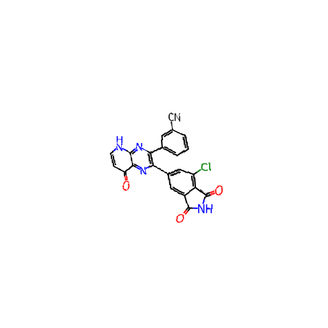 N#Cc1cccc(-c2nc3[nH]ccc(=O)c3nc2-c2cc(Cl)c3c(c2)C(=O)NC3=O)c1